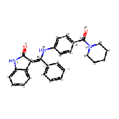 O=C1Nc2ccccc2/C1=C(/Nc1ccc(C(=O)N2CCCCC2)cc1)c1ccccc1